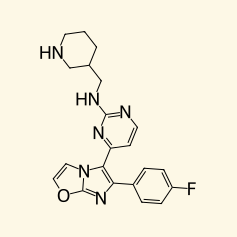 Fc1ccc(-c2nc3occn3c2-c2ccnc(NCC3CCCNC3)n2)cc1